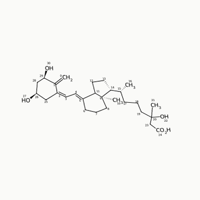 C=C1/C(=C\C=C2CCC[C@@]3(C)C2CC[C@@H]3[C@H](C)CCCC(C)(O)CC(=O)O)C[C@@H](O)C[C@H]1O